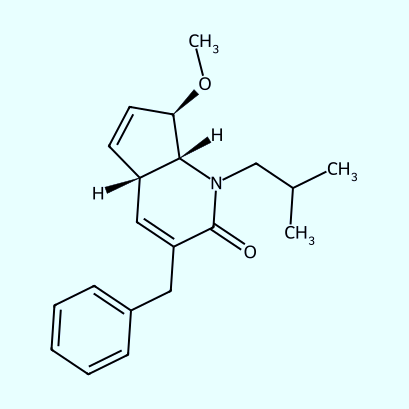 CO[C@@H]1C=C[C@H]2C=C(Cc3ccccc3)C(=O)N(CC(C)C)[C@H]21